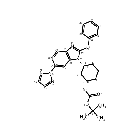 CC(C)(C)OC(=O)N[C@H]1CCC[C@@H](n2c(Oc3ccccc3)nc3cnc(-n4nccn4)cc32)C1